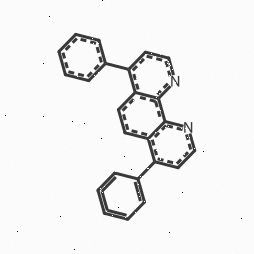 C1=C=CC(c2ccnc3c2ccc2c(-c4ccccc4)ccnc23)=CC=1